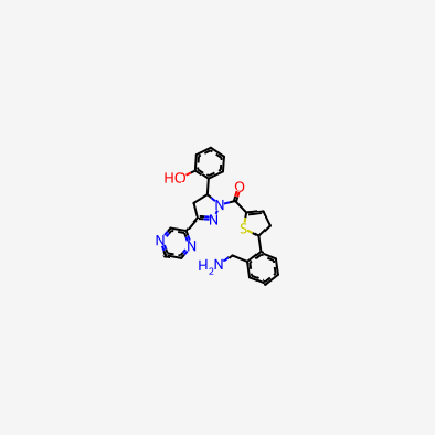 NCc1ccccc1C1CC=C(C(=O)N2N=C(c3cnccn3)CC2c2ccccc2O)S1